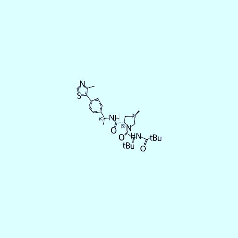 Cc1ncsc1-c1ccc([C@H](C)NC(=O)[C@@H]2C[C@@H](C)CN2C(=O)[C@@H](NC(=O)C(C)(C)C)C(C)(C)C)cc1